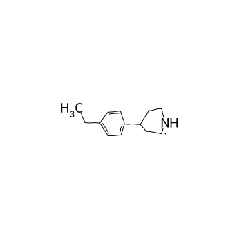 CCc1ccc(C2C[CH]NCC2)cc1